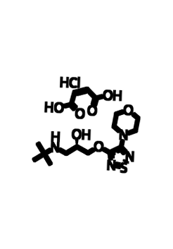 CC(C)(C)NC[C@H](O)COc1nsnc1N1CCOCC1.Cl.O=C(O)/C=C\C(=O)O